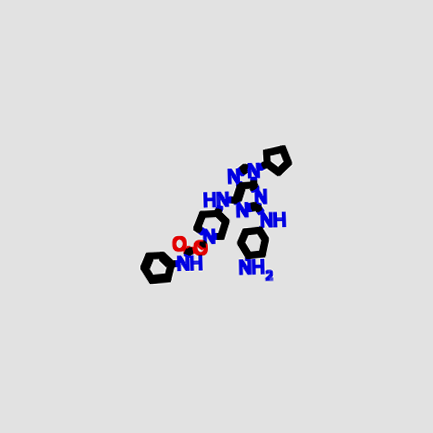 N[C@H]1CC[C@H](Nc2nc(NC3CCN(OC(=O)Nc4ccccc4)CC3)c3ncn(C4CCCC4)c3n2)CC1